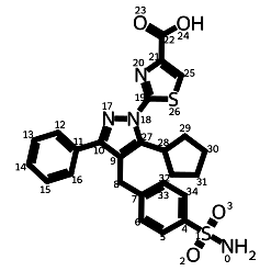 NS(=O)(=O)c1ccc(Cc2c(-c3ccccc3)nn(-c3nc(C(=O)O)cs3)c2C2CCCC2)cc1